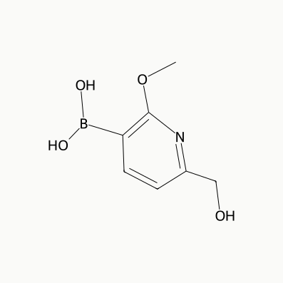 COc1nc(CO)ccc1B(O)O